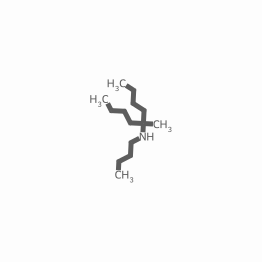 CCCCNC(C)(CCCC)CCCC